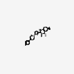 O=C1NC(C2=CC(N3CC=C(c4ccc(F)cc4)CC3)CC2)NC2=C1CC1(CC2)CC1